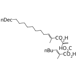 C=C(C)C(=O)O.CCCCC=C(C)C(=O)O.CCCCCCCCCCCCCCCCCCC=C(C)C(=O)O